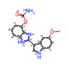 COc1ccc2[nH]cc(-c3nc4c(OC(N)=O)cccc4[nH]3)c2c1